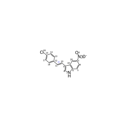 O=[N+]([O-])c1ccc2[nH]cc(/C=C/c3ccc(Cl)cc3)c2c1